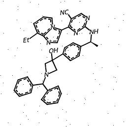 CCc1cccn2c(-c3nc(N[C@@H](C)c4ccc(C5(O)CN(C(c6ccccc6)c6ccccc6)C5)cc4)ncc3C#N)cnc12